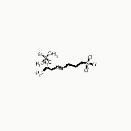 C=CCBr.C[Si](C)(C)Br.Cl[Si](Cl)(Cl)CCCBr